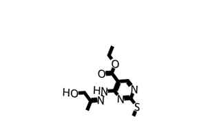 CCOC(=O)c1cnc(SC)nc1NN=C(C)CO